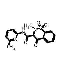 Cc1cccc(NC(=O)C2C(=O)c3ccccc3S(=O)(=O)N2C)n1